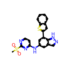 CS(=O)(=O)c1nccc(Nc2cc(-c3cc4ccccc4s3)c3[nH]ncc3c2)n1